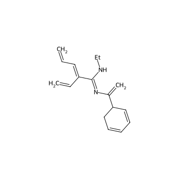 C=C/C=C(C=C)/C(=N/C(=C)C1C=CC=CC1)NCC